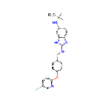 CC(C)(Nc1ccc2nc(NCc3ccc(Oc4ccc(Cl)cn4)cc3)[nH]c2c1)C(=O)O